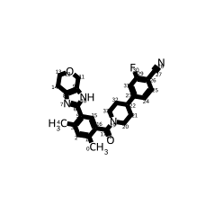 Cc1cc(C)c(-c2nc3c([nH]2)COCC3)cc1C(=O)N1CCC(c2ccc(C#N)c(F)c2)CC1